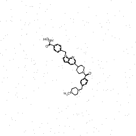 CN1CCN(Cc2ccc(C(=O)N3CCC(c4cnc5c(ccn5Cc5ccc(C(=O)NO)cc5)c4)CC3)cc2)CC1